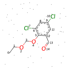 CCOCOc1c(Cl)cc(Cl)cc1C=O